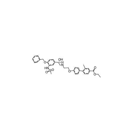 CCOC(=O)c1ccc(-c2ccc(OCCNC[C@@H](O)c3ccc(OCc4ccccc4)c(NS(C)(=O)=O)c3)cc2)c(C)c1